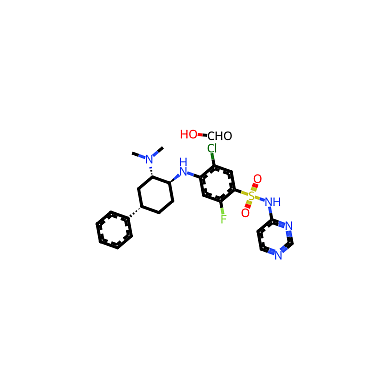 CN(C)[C@H]1C[C@@H](c2ccccc2)CC[C@@H]1Nc1cc(F)c(S(=O)(=O)Nc2ccncn2)cc1Cl.O=CO